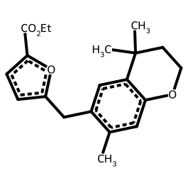 CCOC(=O)c1ccc(Cc2cc3c(cc2C)OCCC3(C)C)o1